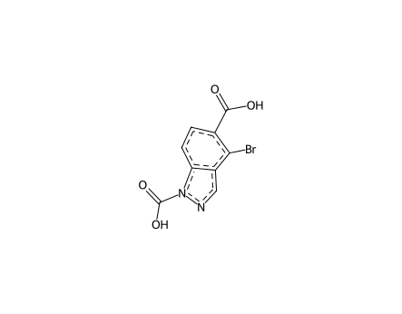 O=C(O)c1ccc2c(cnn2C(=O)O)c1Br